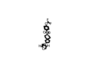 O=S(=O)(c1ccc(OC(F)F)cc1)N1CCC2(CC[C@H](N3C[C@H]4C[C@@H]3CO4)C2)CC1